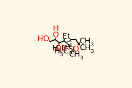 CCC(C(O)C(O)CO)[Si]1(C)CCC(C)(C)O[Si]1(C)C